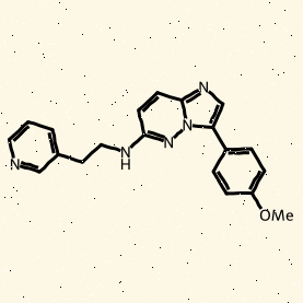 COc1ccc(-c2cnc3ccc(NCCc4cccnc4)nn23)cc1